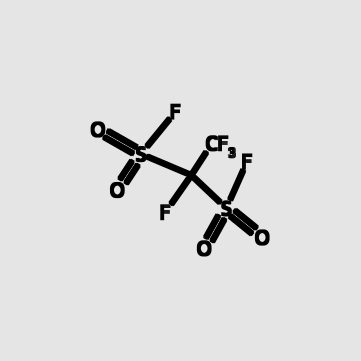 O=S(=O)(F)C(F)(C(F)(F)F)S(=O)(=O)F